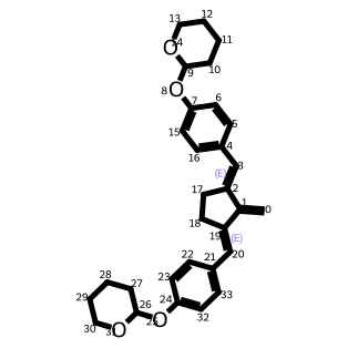 C=C1/C(=C/c2ccc(OC3CCCCO3)cc2)CC/C1=C\c1ccc(OC2CCCCO2)cc1